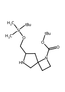 CC(C)(C)OC(=O)N1CCC12CNC(CO[Si](C)(C)C(C)(C)C)C2